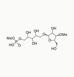 CO[C@@H]1C(O)[C@H](OCC(O)C(O)C(O)COP(=O)(O)OC)O[C@@H]1CO